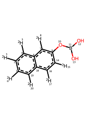 [2H]c1c([2H])c([2H])c2c([2H])c(OB(O)O)c([2H])c([2H])c2c1[2H]